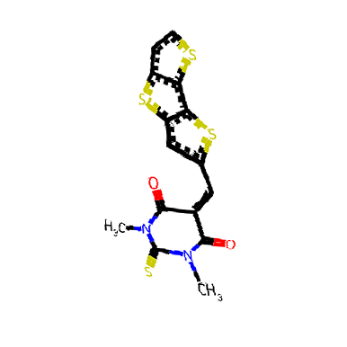 CN1C(=O)C(=Cc2cc3sc4ccsc4c3s2)C(=O)N(C)C1=S